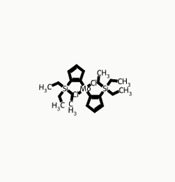 CC[Si](CC)(CC)C1=[C]([Mo]([Cl])([Cl])[C]2=C([Si](CC)(CC)CC)C=CC2)CC=C1